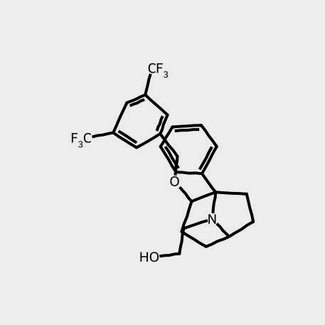 OCCN1C2CCC(OCc3cc(C(F)(F)F)cc(C(F)(F)F)c3)C1(c1ccccc1)CC2